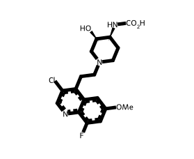 COc1cc(F)c2ncc(Cl)c(CCN3CC[C@H](NC(=O)O)[C@H](O)C3)c2c1